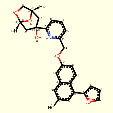 N#Cc1cc(-c2ccco2)c2ccc(OCc3cccc([C@@]4(O)C[C@H]5CO[C@@H](C4)O5)n3)cc2c1